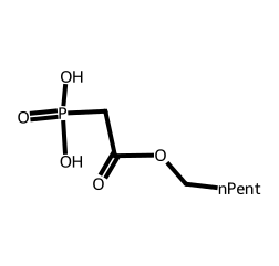 [CH2]CCCCCOC(=O)CP(=O)(O)O